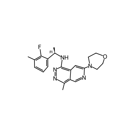 Cc1cccc([C@@H](C)Nc2nnc(C)c3cnc(N4CCOCC4)cc23)c1F